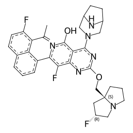 C=C(C)c1c(F)ccc2cccc(-c3nc(O)c4c(N5CC6CCC(C5)N6)nc(OC[C@@]56CCCN5C[C@H](F)C6)nc4c3F)c12